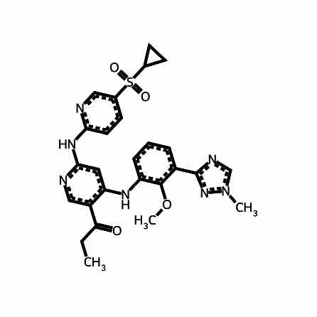 CCC(=O)c1cnc(Nc2ccc(S(=O)(=O)C3CC3)cn2)cc1Nc1cccc(-c2ncn(C)n2)c1OC